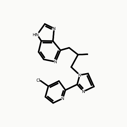 CC(Cc1nccc2[nH]cnc12)Cn1ccnc1-c1cc(Cl)ccn1